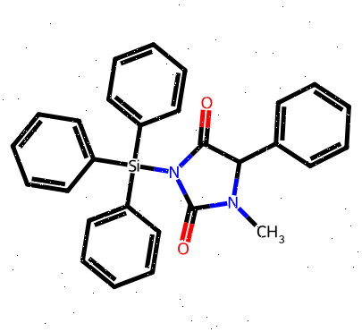 CN1C(=O)N([Si](c2ccccc2)(c2ccccc2)c2ccccc2)C(=O)C1c1ccccc1